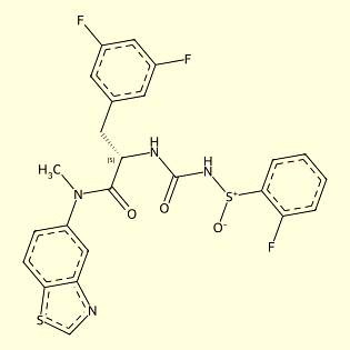 CN(C(=O)[C@H](Cc1cc(F)cc(F)c1)NC(=O)N[S+]([O-])c1ccccc1F)c1ccc2scnc2c1